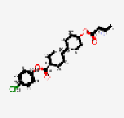 C/C=C/C(=O)O[C@H]1CC[C@H]([C@H]2CC[C@H](C(=O)Oc3ccc(Cl)cc3)CC2)CC1